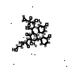 CC[C@@H](CN(C)S(=O)(=O)C1CC1)N1C(=O)[C@@](C)(CC(=O)NCCO)C[C@H](c2cccc(Cl)c2)[C@H]1c1ccc(Cl)cc1